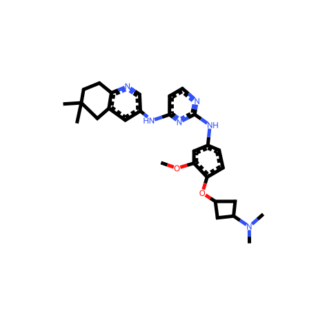 COc1cc(Nc2nccc(Nc3cnc4c(c3)CC(C)(C)CC4)n2)ccc1OC1CC(N(C)C)C1